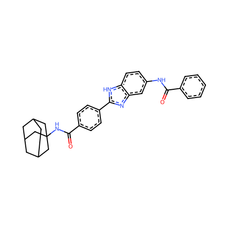 O=C(Nc1ccc2[nH]c(-c3ccc(C(=O)NC45CC6CC(CC(C6)C4)C5)cc3)nc2c1)c1ccccc1